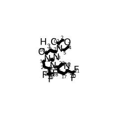 CC1COCCN1c1cc(=O)n2c(n1)N(c1ccc(C(F)F)nc1)C(C(F)(F)F)CC2